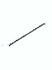 CC(C)CCCCCCCCCCCCCCCCCCCCCCCCCCCCCCCCCCCCCN